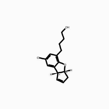 OCCCCc1cc(Cl)cc2c1O[C@@H]1CC=C[C@H]21